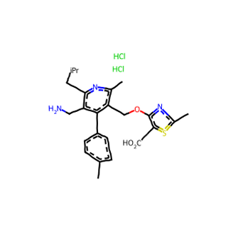 Cc1ccc(-c2c(COc3nc(C)sc3C(=O)O)c(C)nc(CC(C)C)c2CN)cc1.Cl.Cl